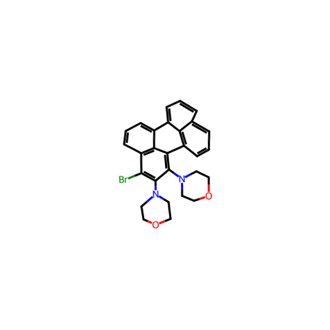 Brc1c(N2CCOCC2)c(N2CCOCC2)c2c3cccc4cccc(c5cccc1c52)c43